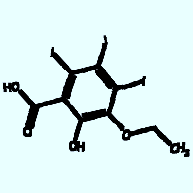 CCOc1c(O)c(C(=O)O)c(I)c(I)c1I